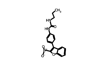 CCCNC(=O)Nc1ccc(-c2c([N+](=O)[O-])oc3ccccc23)cc1